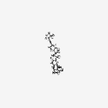 CN(C(=O)c1cc2c(cc1F)nc(N)c1cncn12)[C@@H]1COc2cc(C#CC3(C(F)(F)F)CC3)ccc21